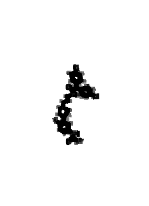 CC(C)C(=O)Nc1ccc(F)c(C2CCN(CCCNC(=O)C(c3ccc(Cl)cc3)c3ccc(Cl)cc3)CC2)c1